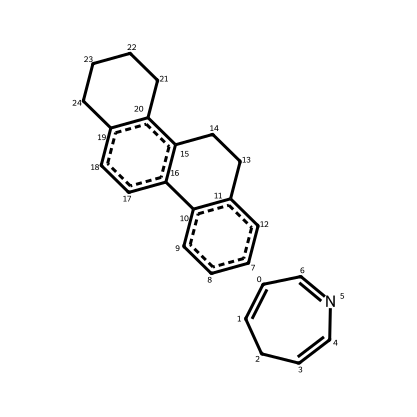 C1=CCC=CN=C1.c1ccc2c(c1)CCc1c-2ccc2c1CCCC2